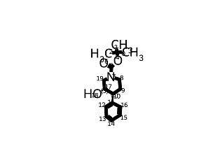 CC(C)(C)OC(=O)N1CC[C@@H](c2ccccc2)[C@H](O)C1